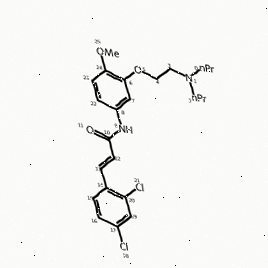 CCCN(CCC)CCOc1cc(NC(=O)C=Cc2ccc(Cl)cc2Cl)ccc1OC